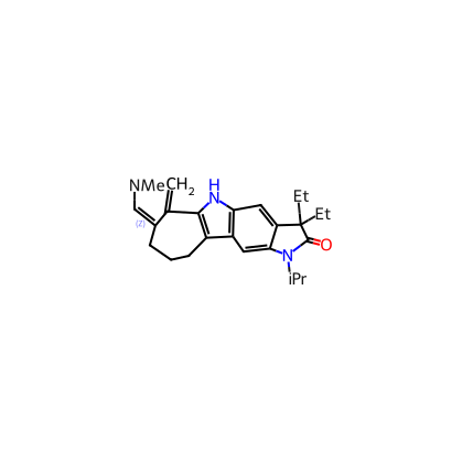 C=C1/C(=C\NC)CCCc2c1[nH]c1cc3c(cc21)N(C(C)C)C(=O)C3(CC)CC